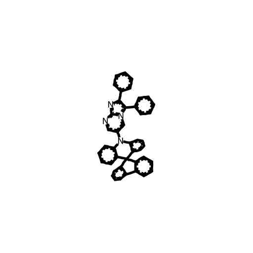 c1ccc(-c2nc3ncc(N4c5ccccc5C5(c6ccccc6-c6ccccc65)c5ccccc54)cn3c2-c2ccccc2)cc1